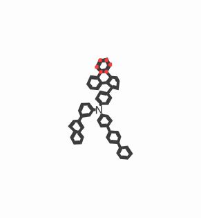 c1ccc(-c2ccc(-c3ccc(N(c4ccc(-c5cccc(-c6ccccc6)c5-c5ccccc5-c5ccccc5)cc4)c4cccc(-c5ccc6ccccc6c5)c4)cc3)cc2)cc1